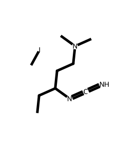 CCC(CCN(C)C)N=C=N.CI